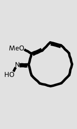 CO/C1=C\C=C/CCCCCCC\C1=N/O